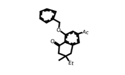 CCC1(C)CC(=O)c2c(cc(C(C)=O)cc2OCc2ccccc2)C1